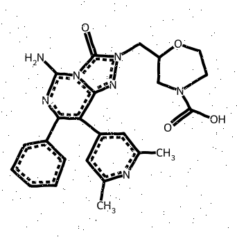 Cc1cc(-c2c(-c3ccccc3)nc(N)n3c(=O)n(CC4CN(C(=O)O)CCO4)nc23)cc(C)n1